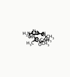 CC[C@@H]1CN(C(=O)C(C)(C)O)CC[C@H]1Nc1c(C(N)=O)cnn2cc(-c3cnn(C(C)C)c3)cc12